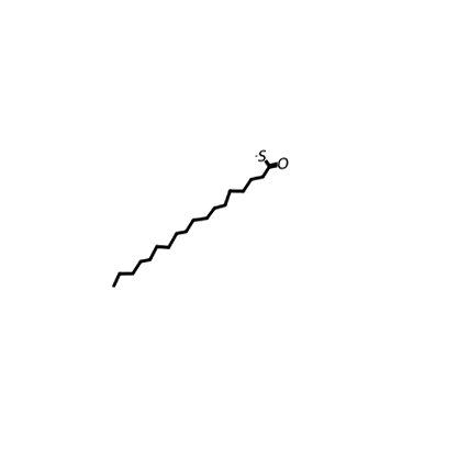 CCCCCCCCCCCCCCCCCC(=O)[S]